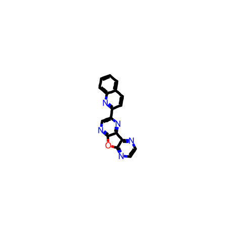 c1ccc2nc(-c3cnc4oc5nccnc5c4n3)ccc2c1